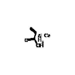 C=CC(=O)O.[AlH3].[Ce]